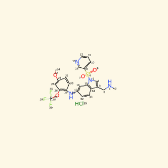 CNCc1cn(S(=O)(=O)c2cccnc2)c2cc(Nc3ccc(OC)cc3OC(F)(F)F)ccc12.Cl